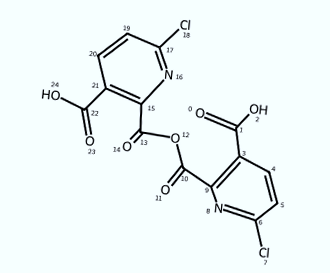 O=C(O)c1ccc(Cl)nc1C(=O)OC(=O)c1nc(Cl)ccc1C(=O)O